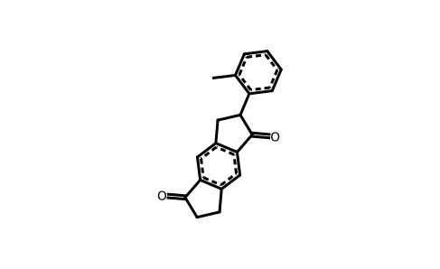 Cc1ccccc1C1Cc2cc3c(cc2C1=O)CCC3=O